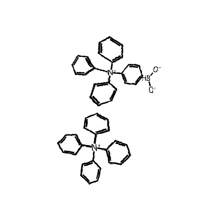 [O-]B[O-].c1ccc([N+](c2ccccc2)(c2ccccc2)c2ccccc2)cc1.c1ccc([N+](c2ccccc2)(c2ccccc2)c2ccccc2)cc1